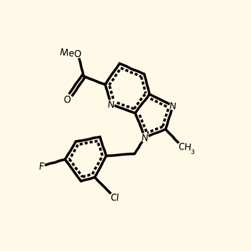 COC(=O)c1ccc2nc(C)n(Cc3ccc(F)cc3Cl)c2n1